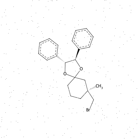 C[C@]1(CBr)CCCC2(C1)O[C@H](c1ccccc1)[C@@H](c1ccccc1)O2